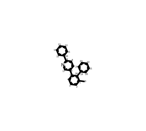 Cc1cccc(-c2ccc(-c3ccccc3)nc2)c1-c1ccccc1